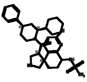 CS(=O)(=O)NC1CC[C@]2(CNC[C@H]2C(=O)N2CC[C@@H](c3ccccc3)C[C@H]2C2CCCCC2)c2ccc(Cl)nc21